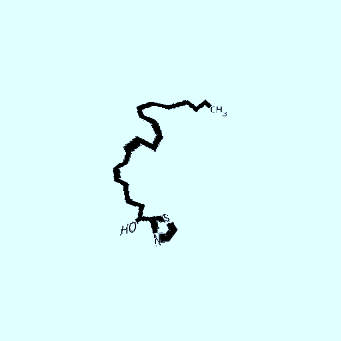 CCCCC/C=C\C/C=C\C/C=C\C/C=C\CCCC(O)c1nccs1